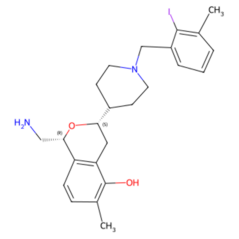 Cc1ccc2c(c1O)C[C@@H](C1CCN(Cc3cccc(C)c3I)CC1)O[C@H]2CN